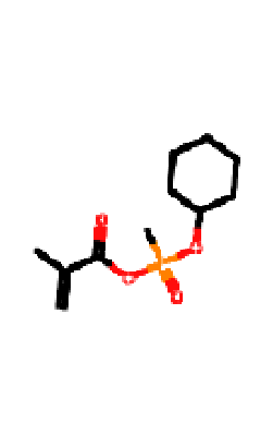 C=C(C)C(=O)OP(C)(=O)OC1CCCCC1